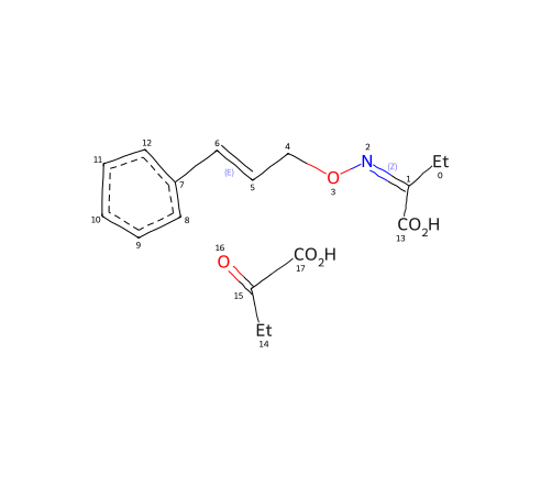 CC/C(=N/OC/C=C/c1ccccc1)C(=O)O.CCC(=O)C(=O)O